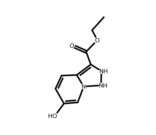 CCOC(=O)C1=C2C=CC(O)=CN2NN1